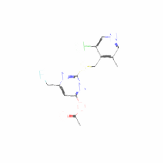 CC(=O)Oc1cc(CF)nc(SCc2c(C)cncc2Cl)n1